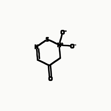 O=C1C=NS[N+]([O-])([O-])C1